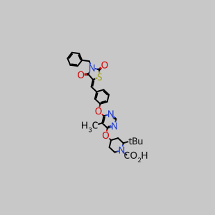 Cc1c(Oc2cccc(/C=C3\SC(=O)N(Cc4ccccc4)C3=O)c2)ncnc1OC1CCN(C(=O)O)C(C(C)(C)C)C1